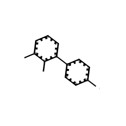 [CH2]CCc1ccc(-c2cccc(F)c2F)cc1